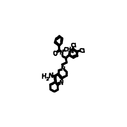 CN(CC(CCN1CCc2nc3c(c(N)c2C1)CCCC3)c1ccc(Cl)c(Cl)c1)C(=O)c1ccccc1